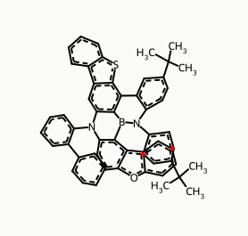 CC(C)(C)c1ccc(N2B3c4c(cc5c(sc6ccccc65)c4-c4cc(C(C)(C)C)ccc42)N(c2ccccc2-c2ccccc2)c2ccc4oc5ccccc5c4c23)cc1